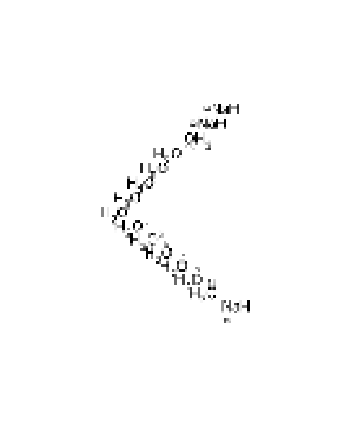 O.O.O.O.O.O.O.O.O.O.O.O.[NaH].[NaH].[NaH]